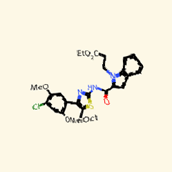 CCCCCCCCc1sc(NC(=O)c2cc3ccccc3n2CCC(=O)OCC)nc1-c1cc(OC)c(Cl)cc1OC